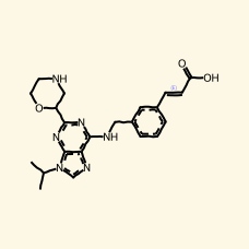 CC(C)n1cnc2c(NCc3cccc(/C=C/C(=O)O)c3)nc(C3CNCCO3)nc21